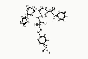 COc1ccc(CCNC(=O)CC2CN(C(=O)Nc3ccccc3)CCN2c2ccnc(-n3ccnc3)n2)cc1